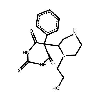 O=C1NC(=S)NC(=O)C1(c1ccccc1)C1CNCCN1CCO